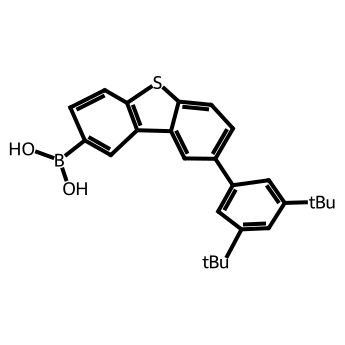 CC(C)(C)c1cc(-c2ccc3sc4ccc(B(O)O)cc4c3c2)cc(C(C)(C)C)c1